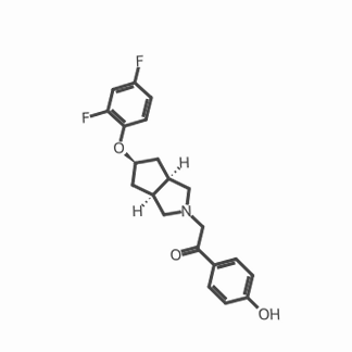 O=C(CN1C[C@H]2C[C@@H](Oc3ccc(F)cc3F)C[C@H]2C1)c1ccc(O)cc1